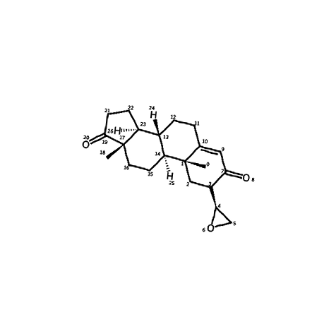 C[C@]12CC([C@H]3CO3)C(=O)C=C1CC[C@@H]1[C@@H]2CC[C@]2(C)C(=O)CC[C@@H]12